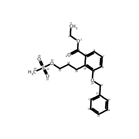 CCOC(=O)c1cccc(OCc2ccccc2)c1CCCOS(C)(=O)=O